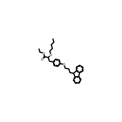 CCCCCOC(Cc1ccc(OCCCC2c3ccccc3-c3ccccc32)cc1)C(=O)OCC